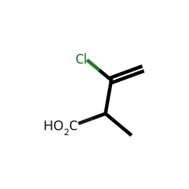 C=C(Cl)C(C)C(=O)O